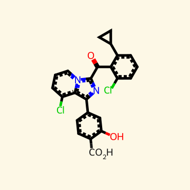 O=C(O)c1ccc(-c2nc(C(=O)c3c(Cl)cccc3C3CC3)n3cccc(Cl)c23)cc1O